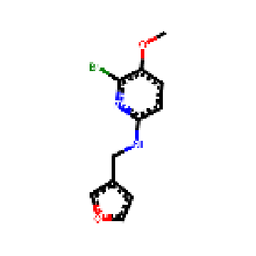 COc1ccc(NCc2ccoc2)nc1Br